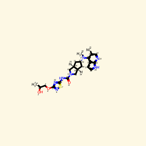 CC(O)COc1nsc(NC(=O)N2C[C@H]3C[C@H](N(C)c4c(C#N)cnc5[nH]ccc45)C[C@H]3C2)n1